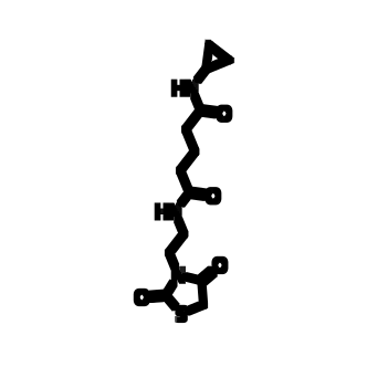 O=C(CCCC(=O)NC1CC1)NCCN1C(=O)CSC1=O